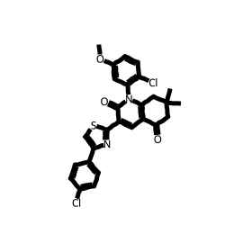 COc1ccc(Cl)c(-n2c3c(cc(-c4nc(-c5ccc(Cl)cc5)cs4)c2=O)C(=O)CC(C)(C)C3)c1